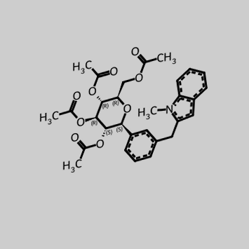 CC(=O)OC[C@H]1O[C@@H](c2cccc(Cc3cc4ccccc4n3C)c2)[C@H](OC(C)=O)[C@@H](OC(C)=O)[C@@H]1OC(C)=O